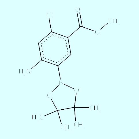 COC(=O)c1cc(B2OC(C)(C)C(C)(C)O2)c(N)cc1Cl